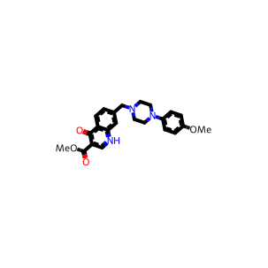 COC(=O)c1c[nH]c2cc(CN3CCN(c4ccc(OC)cc4)CC3)ccc2c1=O